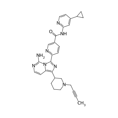 CC#CCN1CCCC(c2nc(-c3ccc(C(=O)Nc4cc(C5CC5)ccn4)cn3)n3c(N)nccc23)C1